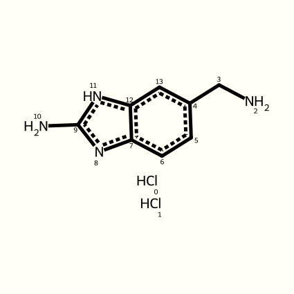 Cl.Cl.NCc1ccc2nc(N)[nH]c2c1